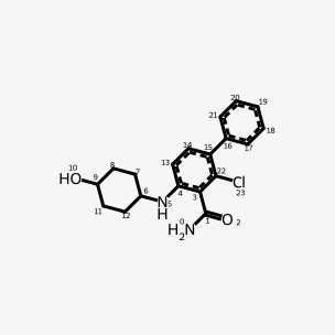 NC(=O)c1c(NC2CCC(O)CC2)ccc(-c2ccccc2)c1Cl